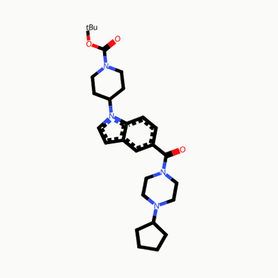 CC(C)(C)OC(=O)N1CCC(n2ccc3cc(C(=O)N4CCN(C5CCCC5)CC4)ccc32)CC1